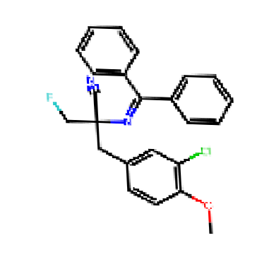 COc1ccc(CC(C#N)(CF)N=C(c2ccccc2)c2ccccc2)cc1Cl